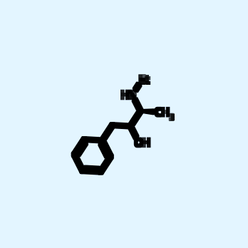 CCN[C@@H](C)C(O)Cc1ccccc1